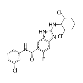 O=C(Nc1cccc(Cl)c1)c1cc2[nH]c(NC3C(Cl)CCCC3Cl)nc2cc1F